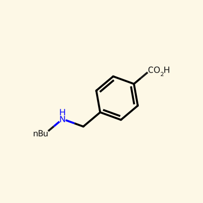 [CH2]CCCNCc1ccc(C(=O)O)cc1